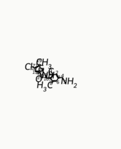 Cc1cc(CN)cc(C)c1CNC(=O)c1cc(Cl)c(C)s1